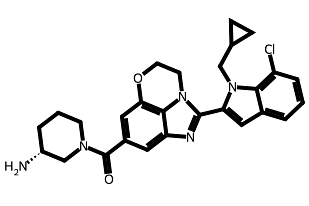 N[C@@H]1CCCN(C(=O)c2cc3c4c(c2)nc(-c2cc5cccc(Cl)c5n2CC2CC2)n4CCO3)C1